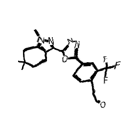 Cn1nc(-c2nnc(-c3ccc(CC=O)c(C(F)(F)F)c3)o2)c2c1CC(C)(C)CC2